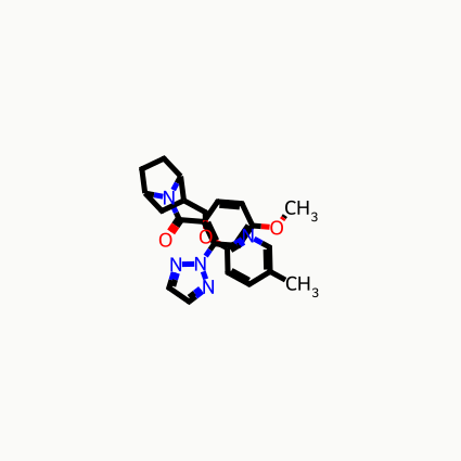 COc1ccc(C(=O)N2C3CCC2C(COc2ccc(C)cn2)C3)c(-n2nccn2)c1